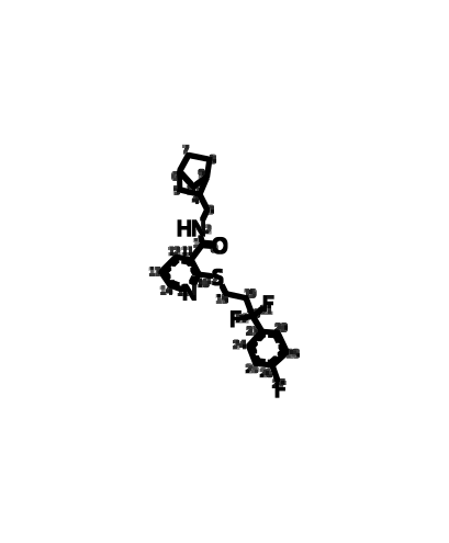 O=C(NCC1CC2CCC1C2)c1cccnc1SCCC(F)(F)c1ccc(F)cc1